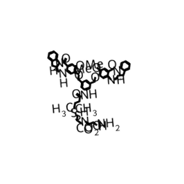 COc1cc2c(cc1OCc1cc(COc3cc4c(cc3OC)C(=O)N3c5ccccc5C[C@H]3CN4)cc(NC(=O)CCC(C)(C)SSCC(NC(=O)CON)C(=O)O)c1)N=C[C@@H]1Cc3ccccc3N1C2=O